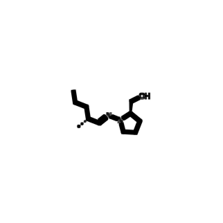 CCC[C@@H](C)/C=N/N1CCC[C@@H]1CO